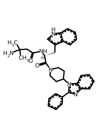 CC(C)(N)CC(=O)N[C@H](Cc1c[nH]c2ccccc12)C(=O)N1CCC(n2c(-c3ccccc3)nc3ccccc32)CC1